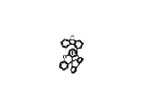 c1ccc2c(c1)Oc1ccccc1C21c2ccccc2-c2cccc(Nc3cccc4oc5ccccc5c34)c21